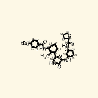 Cc1c(NC(=O)c2ccc(C(C)(C)C)cc2)cccc1-c1c[nH]c(=O)c(Nc2cccc(NC(=O)C3CCCO3)c2)n1